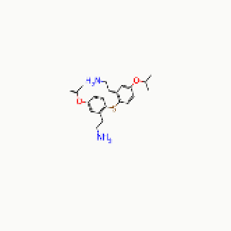 CC(C)Oc1ccc(Sc2ccc(OC(C)C)cc2CCN)c(CCN)c1